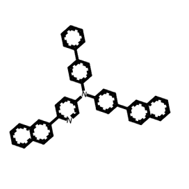 c1ccc(-c2ccc(N(c3ccc(-c4ccc5ccccc5c4)cc3)c3ccc(-c4ccc5ccccc5c4)nc3)cc2)cc1